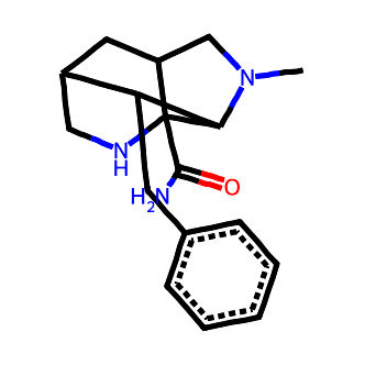 CN1CC2CC3CNC2(C(N)=O)C1C3Cc1ccccc1